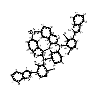 Cc1ccc(-c2cc3ccccc3s2)c(C)c1N1c2cccc3c2B(c2c1oc1ccc(C(C)(C)C)cc21)c1c(oc2ccc(C(C)(C)C)cc12)N3c1c(C)ccc(-c2cc3ccccc3s2)c1C